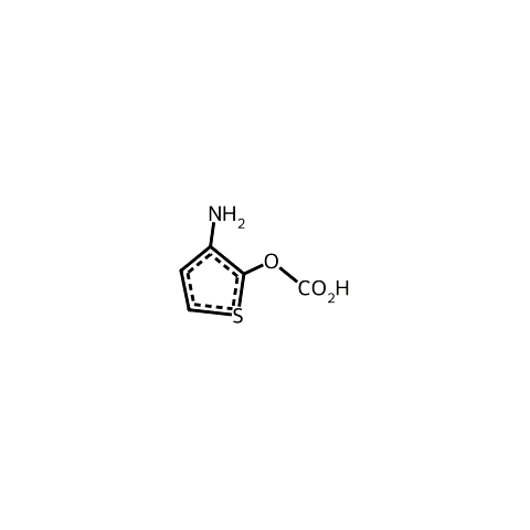 Nc1ccsc1OC(=O)O